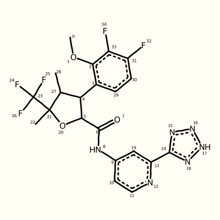 COc1c(C2C(C(=O)Nc3ccnc(-c4nn[nH]n4)c3)OC(C)(C(F)(F)F)C2C)ccc(F)c1F